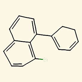 Brc1cccc2cccc(C3=CC=CCC3)c12